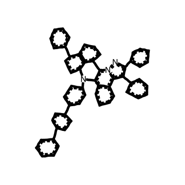 c1ccc(-c2ccc(-c3ccc(N(c4ccc(-c5ccccc5)cc4)c4c(-c5ccccc5)n5nc(-c6ccccc6)c(-c6ccccc6)c5c5ccccc45)cc3)cc2)cc1